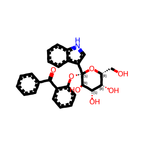 O=C(c1ccccc1)c1ccccc1O[C@]1(c2c[nH]c3ccccc23)O[C@H](CO)[C@H](O)[C@H](O)[C@H]1O